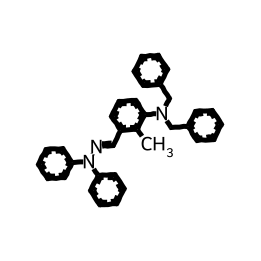 Cc1c(/C=N/N(c2ccccc2)c2ccccc2)cccc1N(Cc1ccccc1)Cc1ccccc1